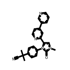 Cn1cc(-c2cc(-c3cccnc3)ccn2)n(-c2ccc(C(C)(C)C#N)cc2)c1=O